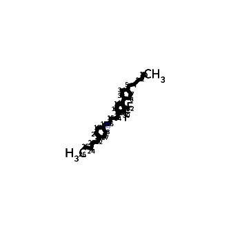 CCCCCCC1CCC(c2ccc(CC/C=C/C3CC=C(CCCCC)CC3)c(F)c2F)CC1